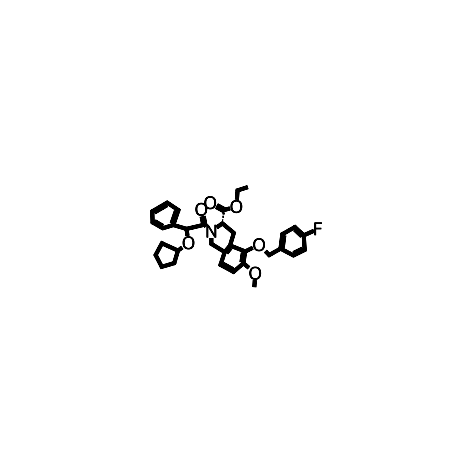 CCOC(=O)[C@@H]1Cc2c(ccc(OC)c2OCc2ccc(F)cc2)CN1C(=O)C(OC1CCCC1)c1ccccc1